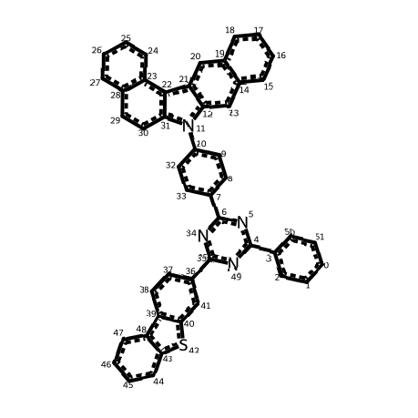 c1ccc(-c2nc(-c3ccc(-n4c5cc6ccccc6cc5c5c6ccccc6ccc54)cc3)nc(-c3ccc4c(c3)sc3ccccc34)n2)cc1